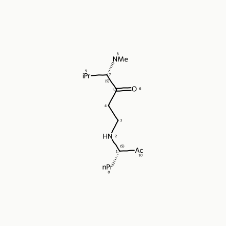 CCC[C@H](NCCC(=O)[C@@H](NC)C(C)C)C(C)=O